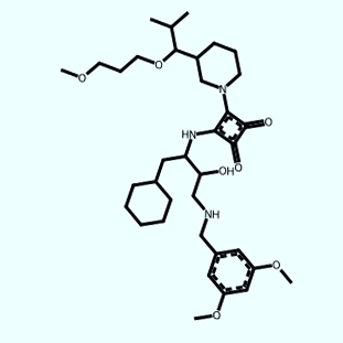 COCCCOC(C(C)C)C1CCCN(c2c(NC(CC3CCCCC3)C(O)CNCc3cc(OC)cc(OC)c3)c(=O)c2=O)C1